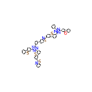 C1=c2oc3ccccc3c2=CCC1c1nc(-c2ccccc2)nc(-c2cccc3c2sc2ccc(-c4nc5cc(-c6cccc(-c7nc(-c8ccc9c(c8)sc8ccccc89)nc(-c8cccc9c8sc8ccc(-c%10nc%11ccccc%11s%10)cc89)n7)c6)ccc5s4)cc23)n1